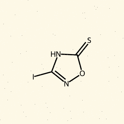 S=c1[nH]c(I)no1